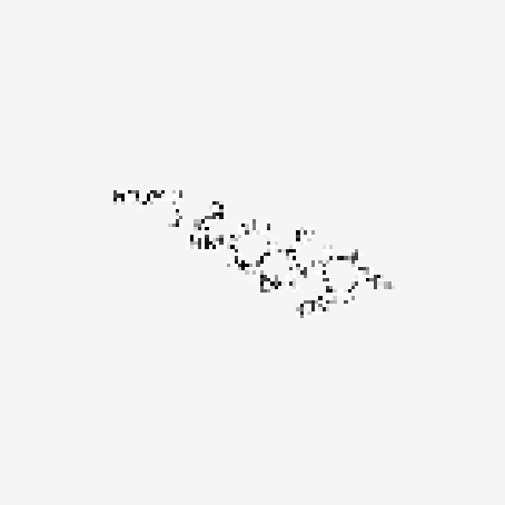 CN(C(=O)c1cnc(NC(=O)CCC(=O)O)nc1O)c1ccc(F)cc1Cl